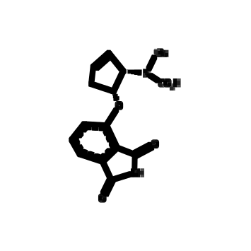 CC(C)(C)N(C(=O)O)[C@H]1C=CC[C@H]1Oc1cccc2c1C(=O)NC2=O